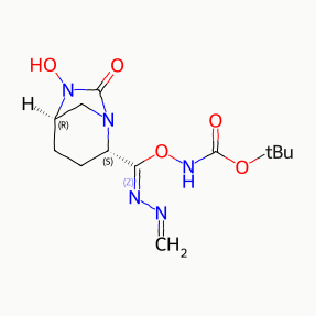 C=N/N=C(\ONC(=O)OC(C)(C)C)[C@@H]1CC[C@@H]2CN1C(=O)N2O